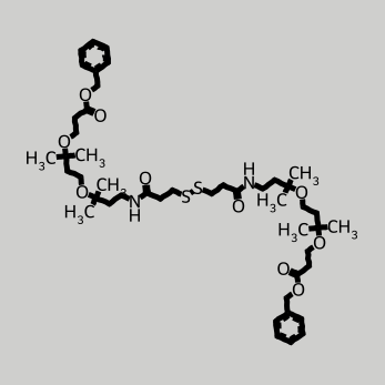 CC(C)(CCNC(=O)CCSSCCC(=O)NCCC(C)(C)OCCC(C)(C)OCCC(=O)OCc1ccccc1)OCCC(C)(C)OCCC(=O)OCc1ccccc1